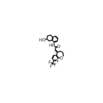 O=C(/C=C1\CCCOc2nc(C(F)(F)F)ccc21)Nc1cccc2c1CC(O)CC2